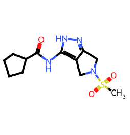 CS(=O)(=O)N1Cc2n[nH]c(NC(=O)C3CCCC3)c2C1